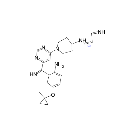 CC1(OC2=CC=C(N)C(C(=N)c3cc(N4CCC(N/C=C\C=N)CC4)ncn3)C2)CC1